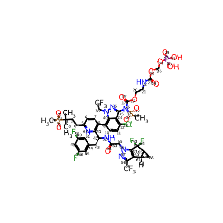 CC(C)(CCc1ccc(-c2ccc(Cl)c3c(N(C(=O)OCCNC(=O)OCOP(=O)(O)O)S(C)(=O)=O)nn(CC(F)(F)F)c23)c([C@H](Cc2cc(F)cc(F)c2)NC(=O)Cn2nc(C(F)(F)F)c3c2C(F)(F)C2C[C@H]32)n1)S(C)(=O)=O